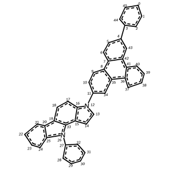 c1ccc(-c2ccc3c4ccc(-n5ccc6c5ccc5c7ccccc7n(-c7ccccc7)c56)cc4c4ccccc4c3c2)cc1